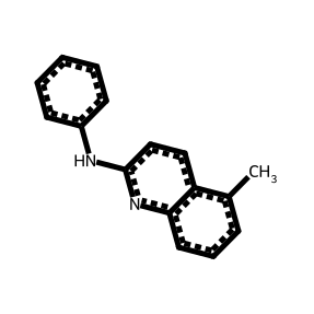 Cc1cccc2nc(Nc3ccccc3)ccc12